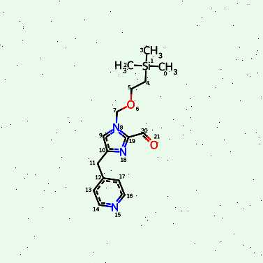 C[Si](C)(C)CCOCn1cc(Cc2ccncc2)nc1C=O